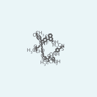 CC(=O)N1CCN(c2nc(N(CCOCCOc3cc(C(C(=O)N4C[C@H](O)C[C@H]4C(=O)NCc4ccc(-c5scnc5C)cc4)C(C)C)on3)CCC(=O)N(C)C)nc3c(F)c(-c4cc(O)cc5ccccc45)c(Cl)cc23)CC1